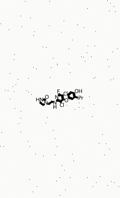 CC(C)c1cc(Oc2c(Cl)c(F)nc(NCCN3CCNC3=O)c2Cl)ccc1O